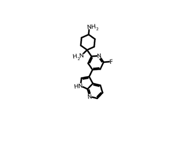 NC1CCC(N)(c2cc(-c3c[nH]c4ncccc34)cc(F)n2)CC1